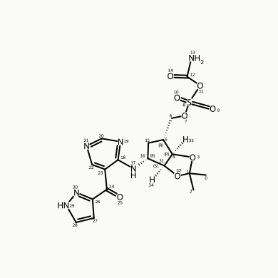 CC1(C)O[C@@H]2[C@@H](COS(=O)(=O)OC(N)=O)C[C@@H](Nc3ncncc3C(=O)c3cc[nH]n3)[C@@H]2O1